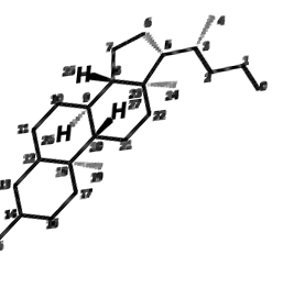 CCC[C@@H](C)[C@H]1CC[C@H]2[C@@H]3CCC4CC(C)CC[C@]4(C)[C@H]3CC[C@]12C